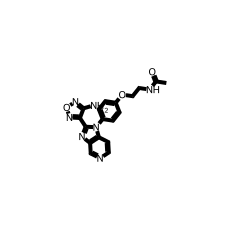 CC(=O)NCCOc1ccc(-n2c(-c3nonc3N)nc3cnccc32)cc1